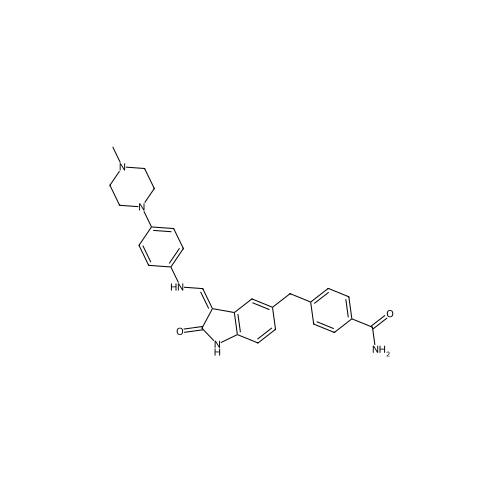 CN1CCN(c2ccc(NC=C3C(=O)Nc4ccc(Cc5ccc(C(N)=O)cc5)cc43)cc2)CC1